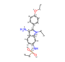 CCOc1ccc(-c2c(N)c3ccc(NS(=O)(=O)CC)cc3n2CC)cc1